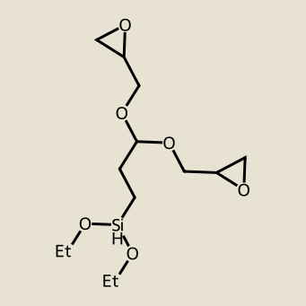 CCO[SiH](CCC(OCC1CO1)OCC1CO1)OCC